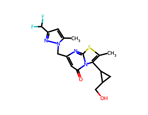 Cc1sc2nc(Cn3nc(C(F)F)cc3C)cc(=O)n2c1C1CC1CO